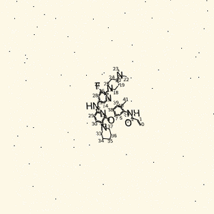 C=CC(=O)Nc1cc(Oc2nc(Nc3cnc(N4CCC(N(C)C)CC4)c(F)c3)ccc2N2CCCCC2)ccc1C